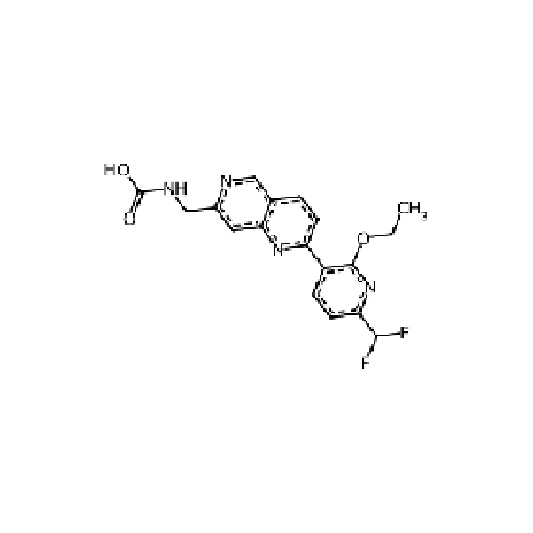 CCOc1nc(C(F)F)ccc1-c1ccc2cnc(CNC(=O)O)cc2n1